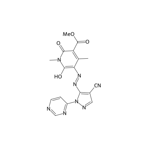 COC(=O)c1c(C)c(/N=N/c2c(C#N)cnn2-c2ccncn2)c(O)n(C)c1=O